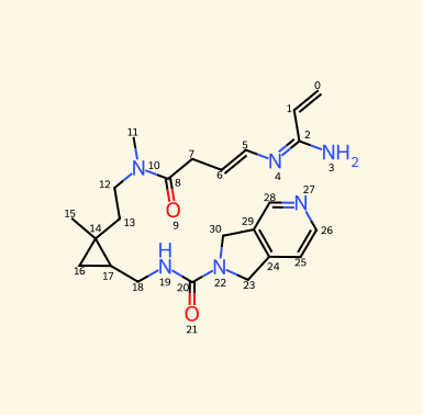 C=C/C(N)=N\C=C\CC(=O)N(C)CCC1(C)CC1CNC(=O)N1Cc2ccncc2C1